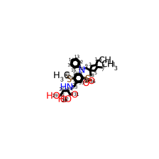 CCCCC1(CCCC)CN(c2ccccc2)c2cc(SC)c(CNC(CC(=O)O)C(=O)O)cc2S(=O)(=O)C1